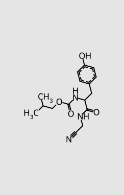 CC(C)COC(=O)NC(Cc1ccc(O)cc1)C(=O)NCC#N